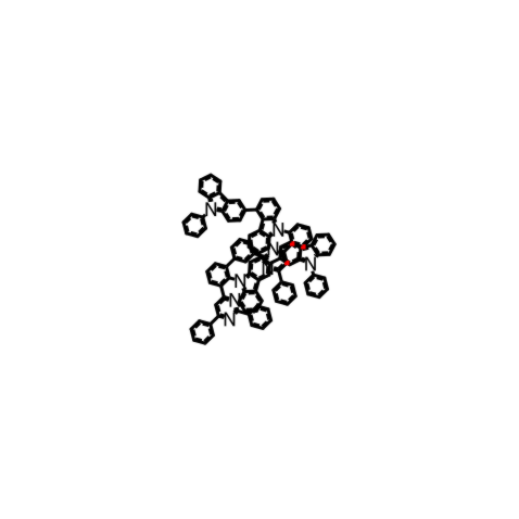 c1ccc(-c2cc(-c3ccccc3-n3c4ccccc4c4c(-c5ccc6c(c5)c5ccccc5n6-c5ccccc5)cccc43)nc(-c3cccc(-c4cccc(-c5cc(-c6ccccc6)nc(-c6ccccc6)n5)c4-n4c5ccccc5c5cc(-c6ccc7c8ccccc8n(-c8ccccc8)c7c6)ccc54)c3)n2)cc1